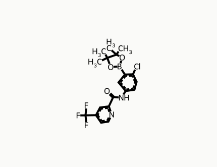 CC1(C)OB(c2cc(NC(=O)c3cc(C(F)(F)F)ccn3)ccc2Cl)OC1(C)C